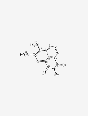 CCN1C(=O)c2cccc3c(N)c(S(=O)(=O)O)cc(c23)C1=O